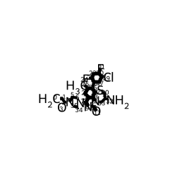 C=CC(=O)N1CCN(c2nc(=O)n3c4c(c(-c5cc(Cl)c(F)cc5F)c(C)cc24)SCC(N)C3)CC1